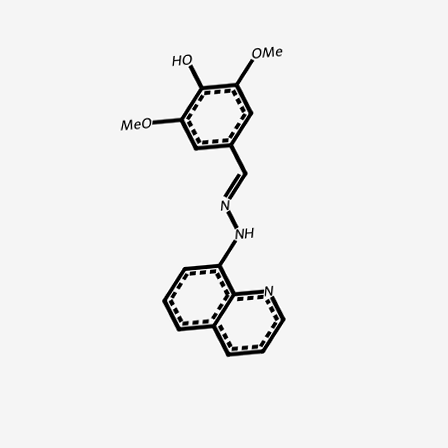 COc1cc(/C=N/Nc2cccc3cccnc23)cc(OC)c1O